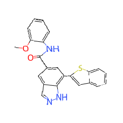 COc1ccccc1NC(=O)c1cc(-c2cc3ccccc3s2)c2[nH]ncc2c1